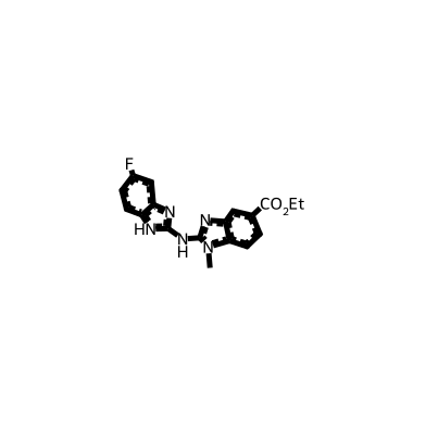 CCOC(=O)c1ccc2c(c1)nc(Nc1nc3cc(F)ccc3[nH]1)n2C